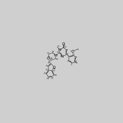 COc1cnccc1-c1cc(=O)n(C)c(N2CCO[C@@H](c3cc4ccccc4o3)C2)n1